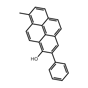 Cc1ccc2ccc3cc(-c4ccccc4)c(O)c4ccc1c2c34